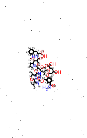 CCC(C)C(C(CC(=O)N1CCCC1C(OC)C(C)C(=O)NC(Cc1ccccc1)C(=O)O)OC)N(C)C(=O)[C@@H](NC(=O)[C@H](C(C)C)N(C)C(=O)OCc1cc(C(N)=O)ccc1OC1CC(O)CC(C(=O)O)O1)C(C)C